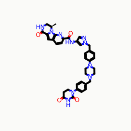 C[C@@H]1CNC(=O)c2cc3ccc(C(=O)Nc4cnn(Cc5ccc(N6CCN(Cc7ccc(N8CCC(=O)NC8=O)cc7)CC6)cc5)c4)nc3n21